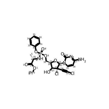 CC(C)OC(=O)[C@H](C)NP(=O)(OC[C@H]1O[C@@H](n2ccc(N)nc2=O)[C@@](Cl)(C#CCl)C1O)Oc1ccccc1